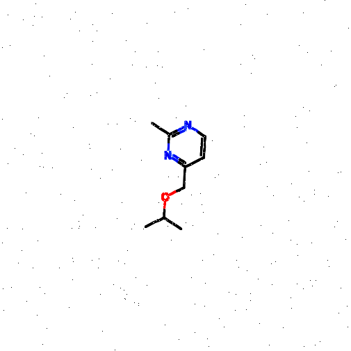 Cc1nccc(COC(C)C)n1